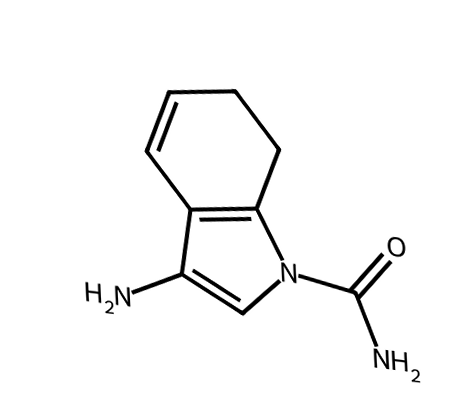 NC(=O)n1cc(N)c2c1CCC=C2